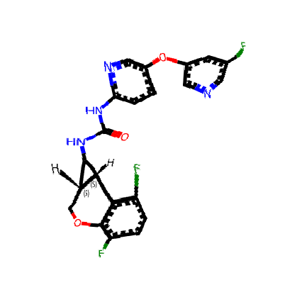 O=C(Nc1ccc(Oc2cncc(F)c2)cn1)NC1[C@H]2COc3c(F)ccc(F)c3[C@@H]12